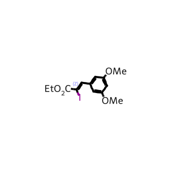 CCOC(=O)/C(I)=C/c1cc(OC)cc(OC)c1